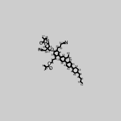 C=C(C)C(=O)OCCCc1cc(OCC(CC#N)(CC#N)COC(=O)C(=C)C)c(CCCC#N)cc1-c1ccc(-c2ccc(C3CCC(CCCCC)CC3)cc2F)c(CC)c1